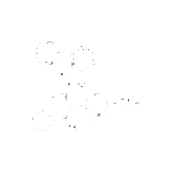 COc1ccc([C@@H](CN2CCCC2)N(C)C(=O)C(C)(c2ccccc2)c2ccccc2)c(OC)c1